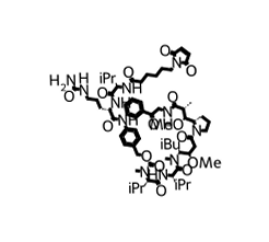 CC[C@H](C)[C@@H]([C@@H](CC(=O)N1CCC[C@H]1[C@H](OC)[C@@H](C)C(=O)NCC(=O)c1ccccc1)OC)N(C)C(=O)[C@@H](NC(=O)[C@H](C(C)C)N(C)C(=O)OCc1ccc(NC(=O)[C@H](CCCNC(N)=O)NC(=O)[C@@H](NC(=O)CCCCCN2C(=O)C=CC2=O)C(C)C)cc1)C(C)C